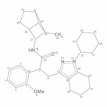 COc1ccccc1C(Cc1nn(C2CCCCC2)c2c1CCCC2)C(=O)NC1C2CCC3C2C31C